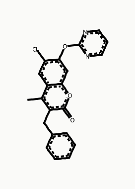 Cc1c(Cc2ccccc2)c(=O)oc2cc(Oc3ncccn3)c(Cl)cc12